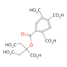 O=C(O)CC(CC(=O)O)(OC(=O)c1cc(C(=O)O)c(C(=O)O)cc1C(=O)O)C(=O)O